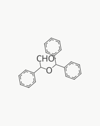 O=[C]C(OC(c1ccccc1)c1ccccc1)c1ccccc1